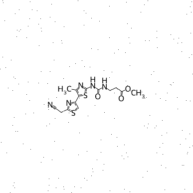 COC(=O)CCNC(=O)Nc1nc(C)c(-c2csc(CC#N)n2)s1